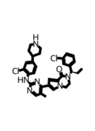 CC[C@H](c1cccc(Cl)c1)N1CCn2cc(-c3nc(Nc4ccc(C5CCNCC5)cc4Cl)ncc3C)cc2C1=O